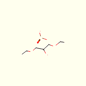 CCOCC(O)COCC.O=S(O)O